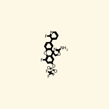 NC1=NC2(CO1)c1cc(-c3cccnc3F)ccc1Oc1c(F)cc(OS(=O)(=O)C(F)(F)F)cc12